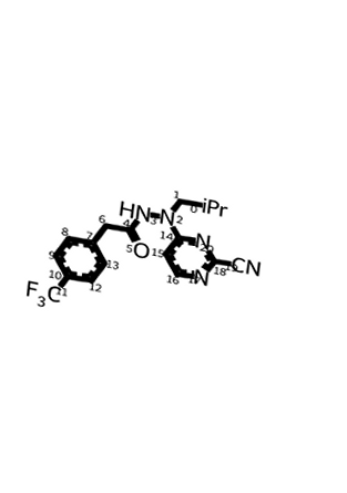 CC(C)CN(NC(=O)Cc1ccc(C(F)(F)F)cc1)c1ccnc(C#N)n1